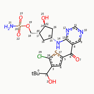 CC(C)(C)C(O)c1cc(C(=O)c2cncnc2N[C@@H]2C[C@H](COS(N)(=O)=O)[C@@H](O)C2)sc1Cl